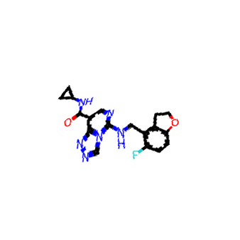 O=C(NC1CC1)c1cnc(NCc2c(F)ccc3c2CCO3)n2cnnc12